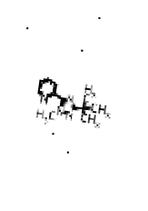 Cn1nc(C(C)(C)C)nc1-c1ccccn1